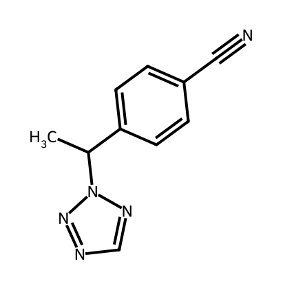 CC(c1ccc(C#N)cc1)n1ncnn1